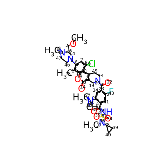 COC[C@H]1CN(c2cc(Cl)c3c4c(c(=O)oc3c2C)CN(C(=O)c2cc(N(C)C)c(C(=O)NS(=O)(=O)N(C)C3CC3)cc2F)CC4)CCN1C